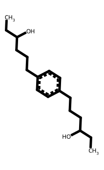 CCC(O)CCCc1ccc(CCCC(O)CC)cc1